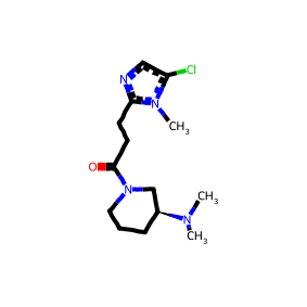 CN(C)[C@H]1CCCN(C(=O)CCc2ncc(Cl)n2C)C1